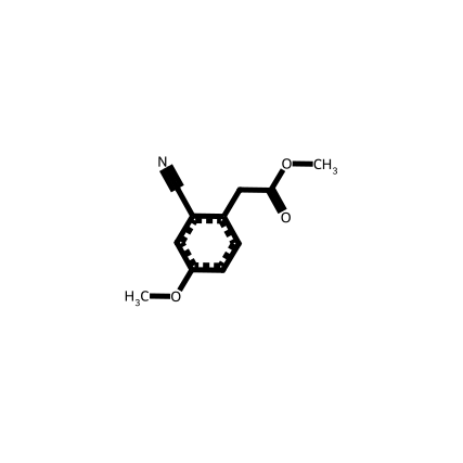 COC(=O)Cc1ccc(OC)cc1C#N